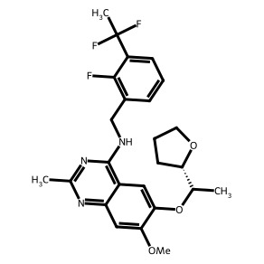 COc1cc2nc(C)nc(NCc3cccc(C(C)(F)F)c3F)c2cc1OC(C)[C@@H]1CCCO1